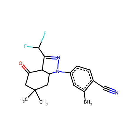 Bc1cc(N2N=C(C(F)F)C3C(=O)CC(C)(C)CC32)ccc1C#N